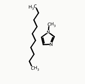 CCCCCCCCCC.Cn1ccnc1